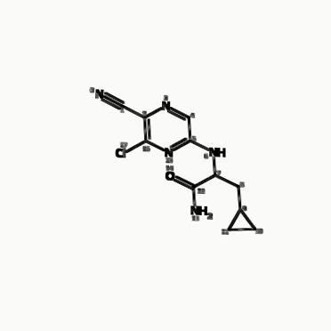 N#Cc1ncc(NC(CC2CC2)C(N)=O)nc1Cl